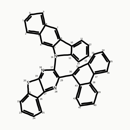 c1ccc2cc3c(cc2c1)c1ccccc1n3-c1nc2sc3ccccc3c2nc1-c1cc2ccccc2c2ccccc12